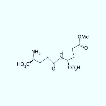 COC(=O)CC[C@H](NC(=O)CC[C@H](N)C(=O)O)C(=O)O